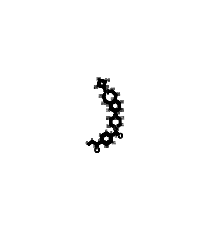 CCC(=O)c1ccc(C(=O)N2CCN(c3ccc4c(c3)CCN(C3CCC3)CC4)CC2)cc1